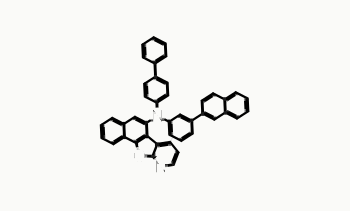 c1ccc(-c2ccc(N(c3cccc(-c4ccc5ccccc5c4)c3)c3cc4ccccc4c4oc5ncccc5c34)cc2)cc1